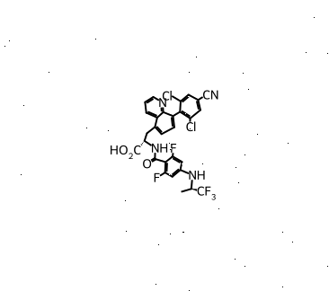 C[C@@H](Nc1cc(F)c(C(=O)N[C@@H](Cc2ccc(-c3c(Cl)cc(C#N)cc3Cl)c3ncccc23)C(=O)O)c(F)c1)C(F)(F)F